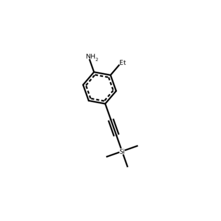 CCc1cc(C#C[Si](C)(C)C)ccc1N